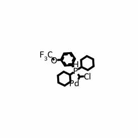 FC(F)(F)Oc1cccc([PH]([CH](Cl)[Pd])(C2CCCCC2)C2CCCCC2)c1